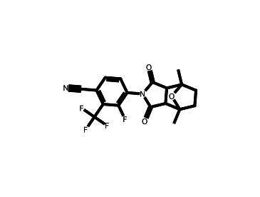 CC12CCC(C)(O1)C1C(=O)N(c3ccc(C#N)c(C(F)(F)F)c3F)C(=O)C12